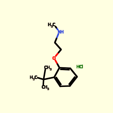 CNCCOc1ccccc1C(C)(C)C.Cl